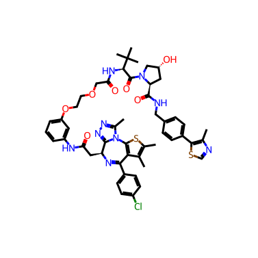 Cc1ncsc1-c1ccc(CNC(=O)[C@@H]2C[C@@H](O)CN2C(=O)[C@@H](NC(=O)COCCOc2cccc(NC(=O)C[C@@H]3N=C(c4ccc(Cl)cc4)c4c(sc(C)c4C)-n4c(C)nnc43)c2)C(C)(C)C)cc1